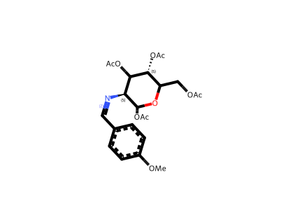 COc1ccc(/C=N\[C@@H]2C(OC(C)=O)OC(COC(C)=O)[C@@H](OC(C)=O)C2OC(C)=O)cc1